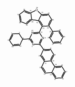 C1=CCC(c2nc(-c3ccc4c(ccc5ccccc54)c3)nc(-c3c(-c4ccccc4)ccc4oc5ccccc5c34)n2)C=C1